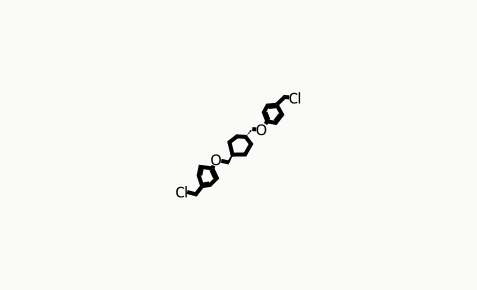 ClCc1ccc(OC[C@H]2CC[C@H](COc3ccc(CCl)cc3)CC2)cc1